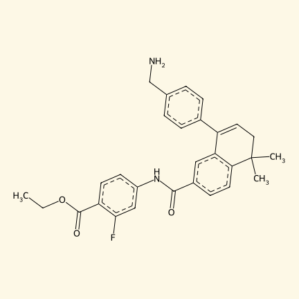 CCOC(=O)c1ccc(NC(=O)c2ccc3c(c2)C(c2ccc(CN)cc2)=CCC3(C)C)cc1F